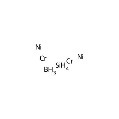 B.[Cr].[Cr].[Ni].[Ni].[SiH4]